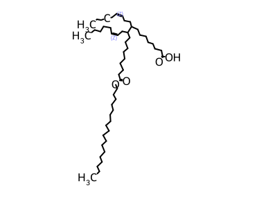 CCCCC/C=C\CCC(CCCCCCCC(=O)O)C(C/C=C\CCCCC)CCCCCCCCC(=O)OCCCCCCCCCCCCCCCCCC